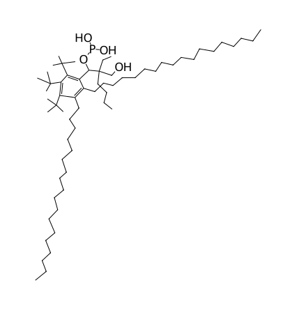 CCCCCCCCCCCCCCCCCCc1c(CCCCCCCCCCCCCCCCCC)c(C(C)(C)C)c(C(C)(C)C)c(C(C)(C)C)c1C(OP(O)O)C(CC)(CO)CCCC